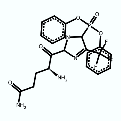 NC(=O)CC[C@H](N)C(=O)C1N=C(C(F)(F)F)C(P(=O)(Oc2ccccc2)Oc2ccccc2)N1